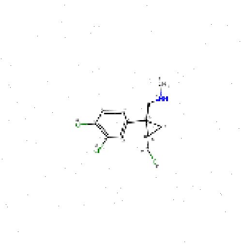 CNC[C@@]1(c2ccc(Cl)c(Cl)c2)C[C@@H]1CCl